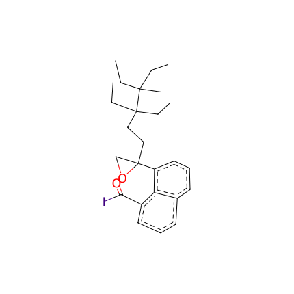 CCC(C)(CC)C(CC)(CC)CCC1(c2cccc3cccc(C(=O)I)c23)CO1